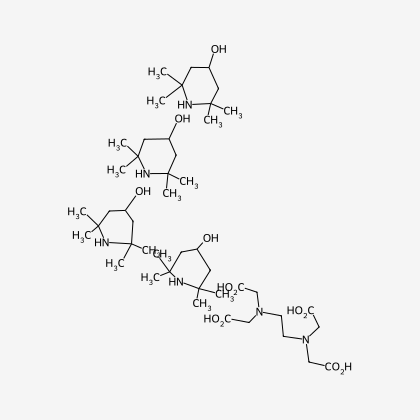 CC1(C)CC(O)CC(C)(C)N1.CC1(C)CC(O)CC(C)(C)N1.CC1(C)CC(O)CC(C)(C)N1.CC1(C)CC(O)CC(C)(C)N1.O=C(O)CN(CCN(CC(=O)O)CC(=O)O)CC(=O)O